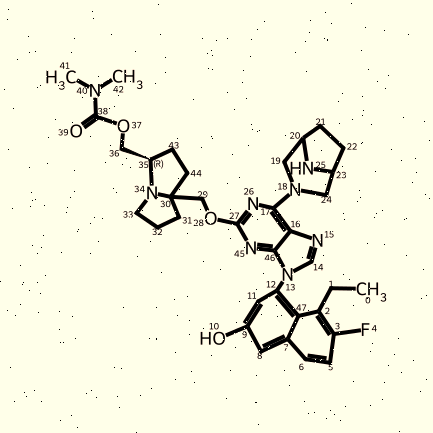 CCc1c(F)ccc2cc(O)cc(-n3cnc4c(N5CC6CCC(C5)N6)nc(OCC56CCCN5[C@@H](COC(=O)N(C)C)CC6)nc43)c12